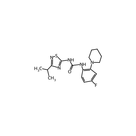 CC(C)c1nsc(NC(=O)Nc2ccc(F)cc2N2CCCCC2)n1